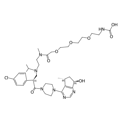 CC(C)N(CCN(C)C(=O)COCCOCCOCCNC(=O)O)C[C@@H](C(=O)N1CCN(c2ncnc3c2[C@H](C)C[C@H]3O)CC1)c1ccc(Cl)cc1